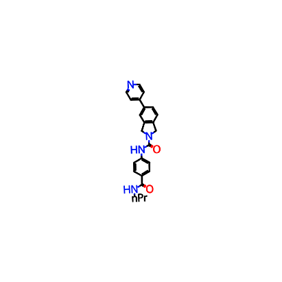 CCCNC(=O)c1ccc(NC(=O)N2Cc3ccc(-c4ccncc4)cc3C2)cc1